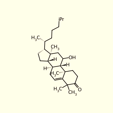 CC(C)CCC[C@@H](C)[C@H]1CC[C@H]2[C@@H]3CC=C4C(C)(C)C(=O)CC[C@]4(C)[C@H]3C(O)C[C@]12C